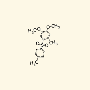 COc1cc(C)c(S(=O)(=O)c2ccc(C)cc2)cc1OC